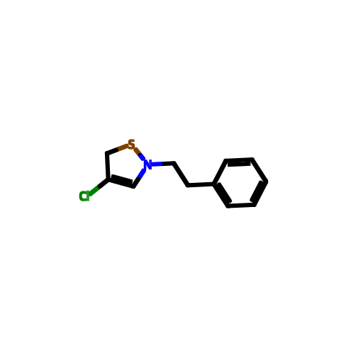 ClC1=CN(CCc2ccccc2)SC1